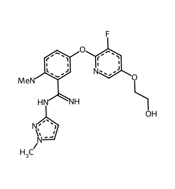 CNc1ccc(Oc2ncc(OCCO)cc2F)cc1C(=N)Nc1ccn(C)n1